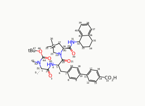 C[C@@H](C(=O)NC(Cc1ccc(-c2ccc(C(=O)O)cc2)cc1)C(=O)N1C[Si](C)(C)C[C@H]1C(=O)NC1CCCc2ccccc21)N(C)C(=O)OC(C)(C)C